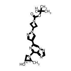 C[C@H]1[C@H](O)CN1c1nc(-c2cnn(C3CN(C(=O)OC(C)(C)C)C3)c2)cn2ncnc12